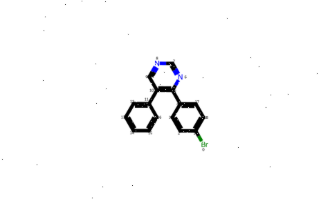 Brc1ccc(-c2ncn[c]c2-c2ccccc2)cc1